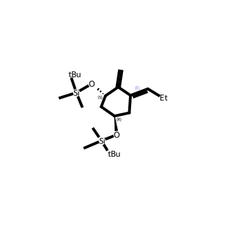 C=C1/C(=C/CC)C[C@@H](O[Si](C)(C)C(C)(C)C)C[C@@H]1O[Si](C)(C)C(C)(C)C